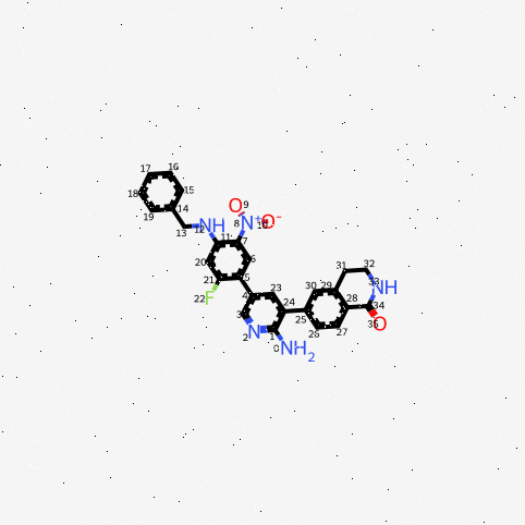 Nc1ncc(-c2cc([N+](=O)[O-])c(NCc3ccccc3)cc2F)cc1-c1ccc2c(c1)CCNC2=O